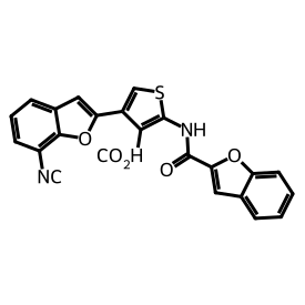 [C-]#[N+]c1cccc2cc(-c3csc(NC(=O)c4cc5ccccc5o4)c3C(=O)O)oc12